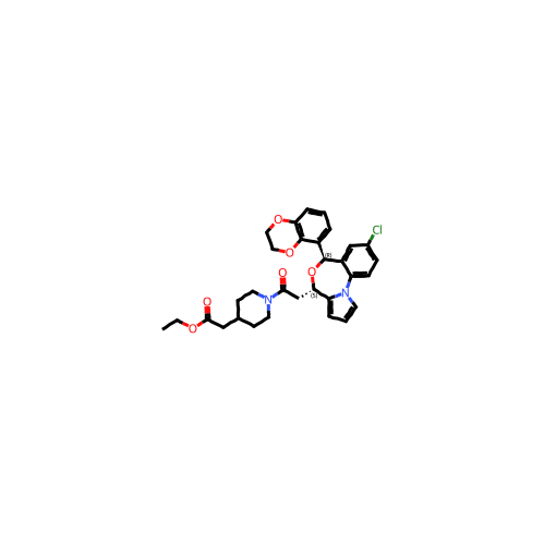 CCOC(=O)CC1CCN(C(=O)C[C@@H]2O[C@@H](c3cccc4c3OCCO4)c3cc(Cl)ccc3-n3cccc32)CC1